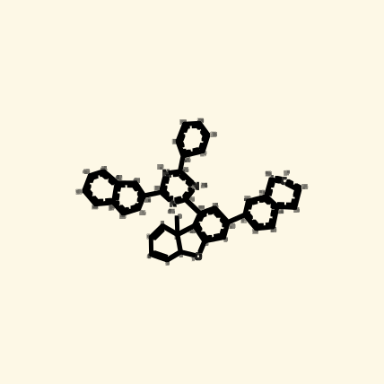 CC12C=CC=CC1Oc1cc(-c3ccc4ccccc4c3)cc(-c3nc(-c4ccccc4)nc(-c4ccc5ccccc5c4)n3)c12